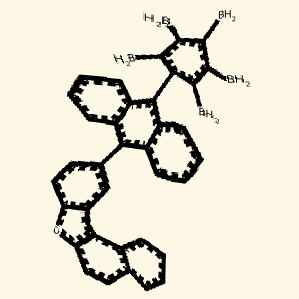 Bc1c(B)c(B)c(-c2c3ccccc3c(-c3ccc4oc5ccc6ccccc6c5c4c3)c3ccccc23)c(B)c1B